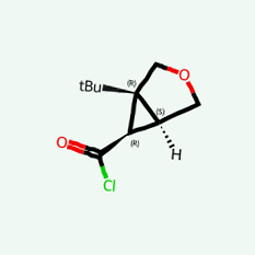 CC(C)(C)[C@@]12COC[C@H]1[C@H]2C(=O)Cl